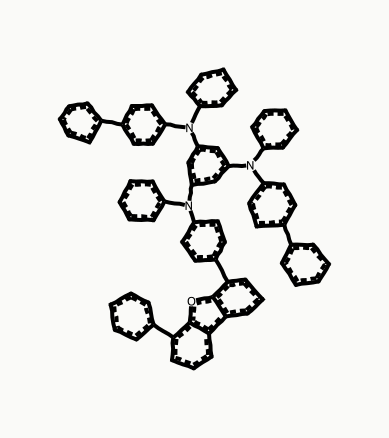 c1ccc(-c2ccc(N(c3ccccc3)c3cc(N(c4ccccc4)c4ccc(-c5ccccc5)cc4)cc(N(c4ccccc4)c4ccc(-c5cccc6c5oc5c(-c7ccccc7)cccc56)cc4)c3)cc2)cc1